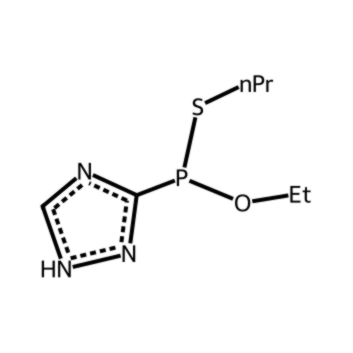 CCCSP(OCC)c1nc[nH]n1